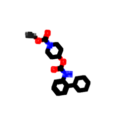 CC(C)(C)OC(=O)N1CCC(OC(=O)Nc2ccccc2C2CCCCC2)CC1